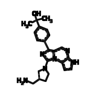 CC(C)(O)c1ccc(-c2nc(N3CCC(CN)C3)n3c2cnc2[nH]ccc23)cc1